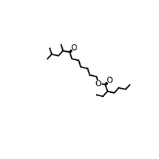 CCCCC(CC)C(=O)OCCCCCCC(=O)C(C)CC(C)C